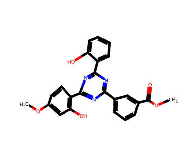 COC(=O)c1cccc(-c2nc(-c3ccccc3O)nc(-c3ccc(OC)cc3O)n2)c1